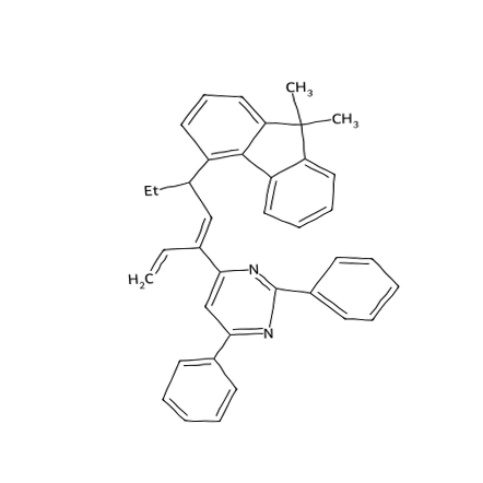 C=C/C(=C\C(CC)c1cccc2c1-c1ccccc1C2(C)C)c1cc(-c2ccccc2)nc(-c2ccccc2)n1